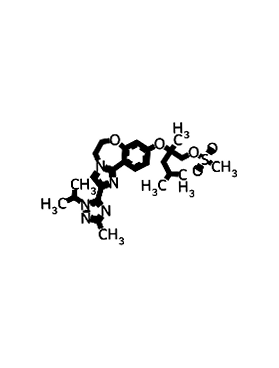 Cc1nc(-c2cn3c(n2)-c2ccc(OC(C)(COS(C)(=O)=O)CC(C)C)cc2OCC3)n(C(C)C)n1